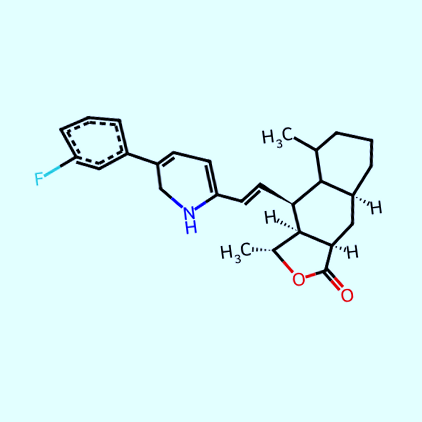 CC1CCC[C@H]2C[C@H]3C(=O)O[C@H](C)[C@H]3[C@@H](/C=C/C3=CC=C(c4cccc(F)c4)CN3)C12